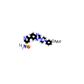 COc1cccc(N2CCN(c3cnc4ccc(-c5cncc([S+](N)[O-])c5)cc4n3)CC2)c1